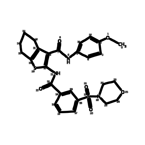 COc1ccc(NC(=O)c2c(NC(=O)c3cccc(S(=O)(=O)N4CCOCC4)c3)sc3c2CCCC3)cc1